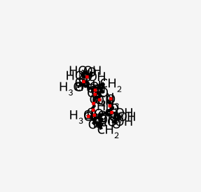 C=C1C[C@H]2C(O)N(C(=O)OCc3ccc(O[C@@H]4O[C@H](C(=O)O)[C@@H](O)[C@H](O)[C@H]4O)c(C(=O)NCCON)c3)c3cc(OCCCCCOc4cc5c(cc4OC)C(=O)N4CC(=C)C[C@H]4C(O)N5C(=O)OCc4ccc(O[C@@H]5O[C@H](C(=O)O)[C@@H](O)[C@H](O)[C@H]5O)c(C(=O)OC)c4)c(OC)cc3C(=O)N2C1